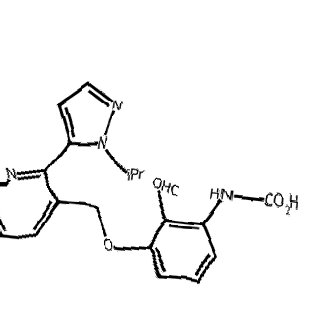 CC(C)n1nccc1-c1ncccc1COc1cccc(NC(=O)O)c1C=O